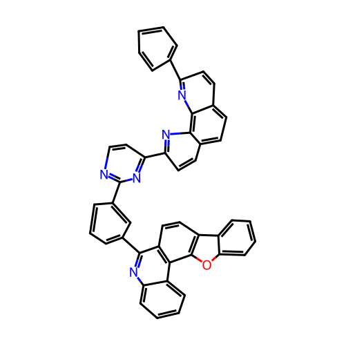 c1ccc(-c2ccc3ccc4ccc(-c5ccnc(-c6cccc(-c7nc8ccccc8c8c7ccc7c9ccccc9oc78)c6)n5)nc4c3n2)cc1